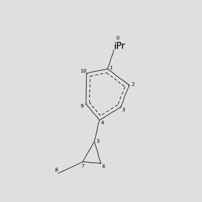 CC(C)c1ccc(C2CC2C)cc1